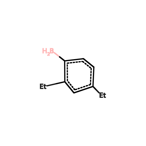 Bc1ccc(CC)cc1CC